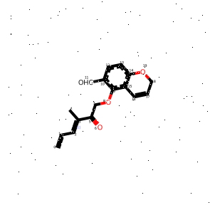 C=C/C=C(\C)C(=O)COc1c(C=O)ccc2c1C=CCO2